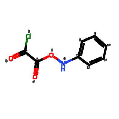 O=C(Cl)C(=O)ONc1ccccc1